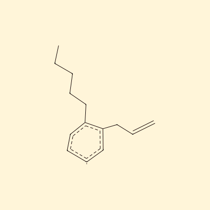 C=CCc1c[c]ccc1CCCCC